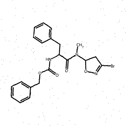 CN(C(=O)C(Cc1ccccc1)NC(=O)OCc1ccccc1)C1CC(Br)=NO1